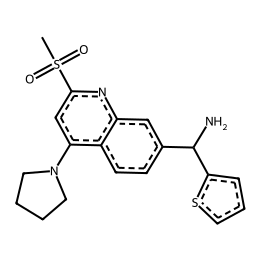 CS(=O)(=O)c1cc(N2CCCC2)c2ccc(C(N)c3cccs3)cc2n1